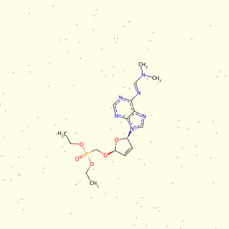 CCOP(=O)(CO[C@@H]1C=C[C@H](n2cnc3c(/N=C/N(C)C)ncnc32)O1)OCC